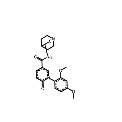 COc1ccc(-n2cc(C(=O)NC3CN4CCC3CC4)ccc2=O)c(OC)c1